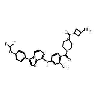 Cc1cc(Nc2nccn3c(-c4ccc(OC(F)F)cc4)cnc23)ccc1C(=O)N1CCN(C(=O)[C@H]2C[C@H](N)C2)CC1